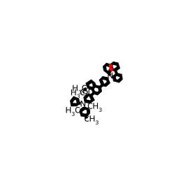 Cc1cc(C)c(N(c2ccccc2)c2ccc3c(c2)[Si](C)(C)c2cccc4c(-c5ccc(N(c6ccccc6)c6ccccc6-c6ccccc6)cc5)ccc-3c24)c(C)c1